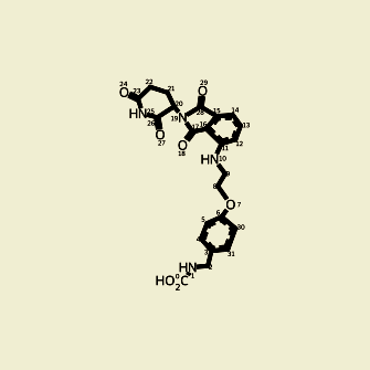 O=C(O)NCc1ccc(OCCNc2cccc3c2C(=O)N(C2CCC(=O)NC2=O)C3=O)cc1